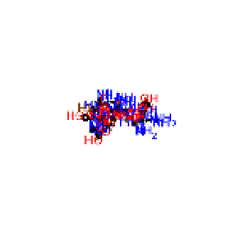 CC[C@H](C)[C@H](NC(=O)[C@@H]1C[C@@H](O)CN1C(=O)[C@@H](N)C(C)C)C(=O)N[C@H](C(=O)N[C@@H](Cc1ccc(O)cc1)C(=O)N[C@H](C(=O)N[C@@H](CC(N)=O)C(=O)N[C@@H](CCCNC(=N)N)C(=O)N[C@@H](CCN)C(=O)N[C@H](C(=O)N[C@H](CCN)C(=O)N[C@@H](CC(N)=O)C(=O)N[C@@H](CS)C(=O)N[C@@H](CCN)C(=O)N[C@@H](CCCNC(=N)N)C(=O)N[C@@H](Cc1ccc(O)cc1)C(=O)O)[C@@H](C)O)C(C)(C)S)[C@@H](C)O